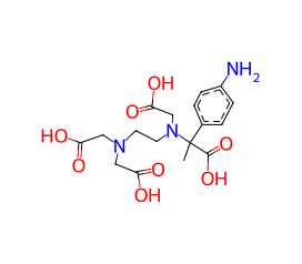 CC(C(=O)O)(c1ccc(N)cc1)N(CCN(CC(=O)O)CC(=O)O)CC(=O)O